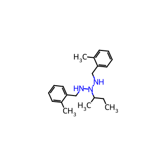 CCC(C)N(NCc1ccccc1C)NCc1ccccc1C